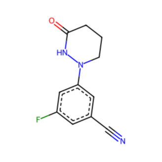 N#Cc1cc(F)cc(N2CCCC(=O)N2)c1